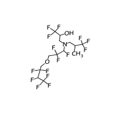 CC(CN(CC(O)C(F)(F)F)C(F)C(F)(F)COCC(F)(F)C(F)C(F)(F)F)C(F)(F)F